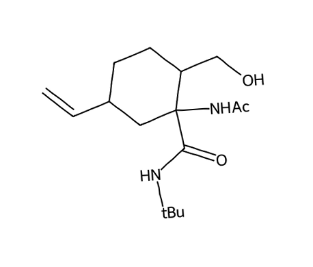 C=CC1CCC(CO)C(NC(C)=O)(C(=O)NC(C)(C)C)C1